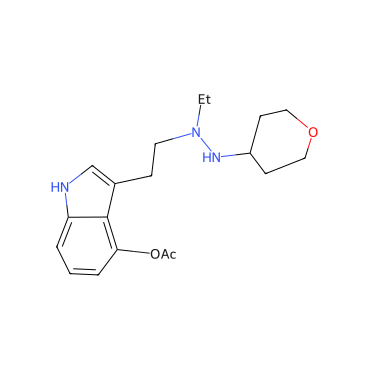 CCN(CCc1c[nH]c2cccc(OC(C)=O)c12)NC1CCOCC1